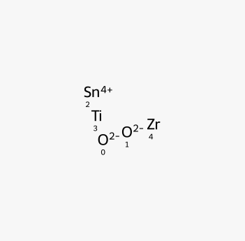 [O-2].[O-2].[Sn+4].[Ti].[Zr]